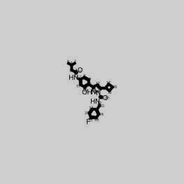 CC(C)CC(=O)Nc1ccc(-c2cc(C3CCC3)n(C(=O)NCc3ccc(F)cc3)n2)c(O)c1